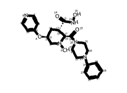 CN1C[C@@H](Oc2ccncc2)C[C@H](C(=O)NO)[C@H]1C(=O)N1CCN(c2ccccc2)CC1